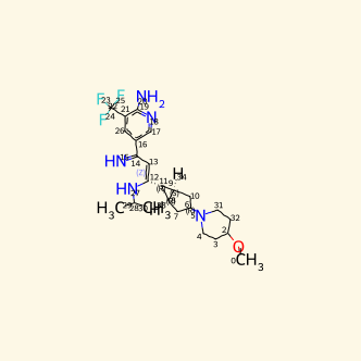 COC1CCN([C@H]2C[C@@H]3[C@H](C2)[C@H]3/C(=C/C(=N)c2cnc(N)c(C(F)(F)F)c2)NC(C)C)CC1